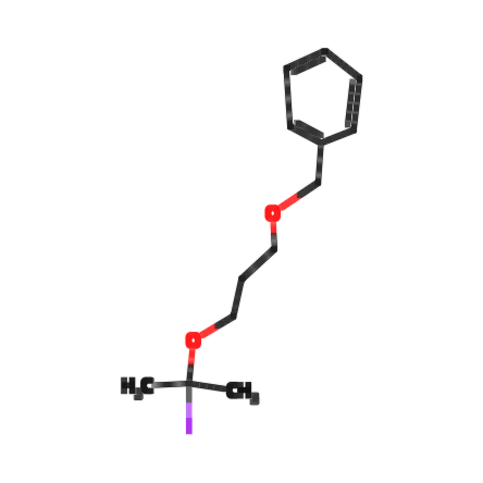 CC(C)(I)OCCCOCc1ccccc1